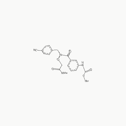 CNC(=O)CON(Cc1ccc(C#N)cc1)C(=O)c1cccc(NC(=O)OC(C)(C)C)c1